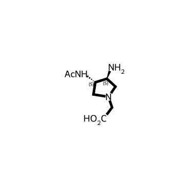 CC(=O)N[C@H]1CN(CC(=O)O)C[C@@H]1N